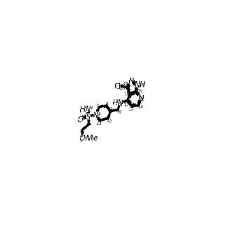 COCCS(=N)(=O)N1CCC(CNc2ccnc3[nH]nc(Cl)c23)CC1